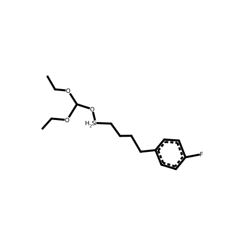 CCOC(OCC)O[SiH2]CCCCc1ccc(F)cc1